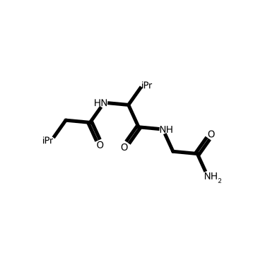 CC(C)CC(=O)NC(C(=O)NCC(N)=O)C(C)C